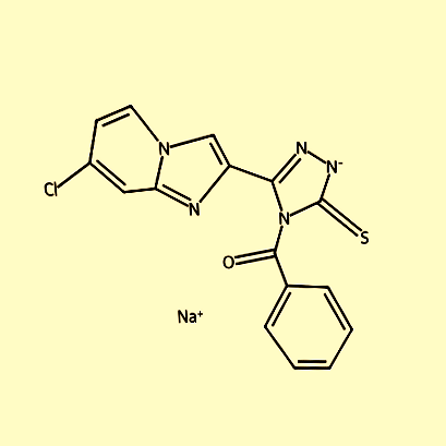 O=C(c1ccccc1)n1c(-c2cn3ccc(Cl)cc3n2)n[n-]c1=S.[Na+]